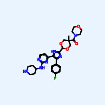 CC1(C(=O)N2CCOCC2)COC(c2nc(-c3ccc(F)cc3)c(-c3ccnc(NC4CCNCC4)n3)[nH]2)OC1